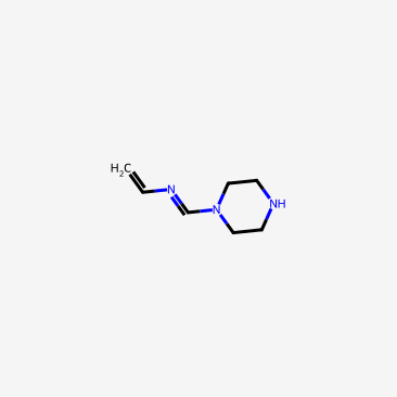 C=C/N=C/N1CCNCC1